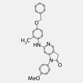 COc1ccc(N2C(=O)Cc3cnc(Nc4ccc(OCc5ccccc5)cc4C)cc32)cc1